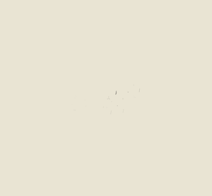 CC(C)(C)[IH](OS(=O)(=O)C(F)(F)C(F)(F)C(F)(F)C(F)(F)F)(c1ccccc1)C(C)(C)C